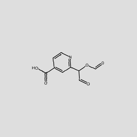 O=COC(C=O)c1cc(C(=O)O)ccn1